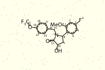 COc1cc(F)ccc1C1CC(O)C(=O)N1Cc1ccc(OC(F)(F)F)cc1